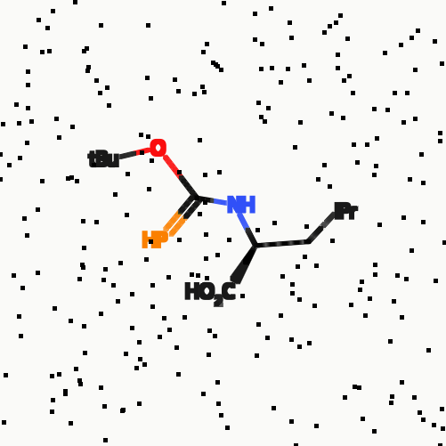 CC(C)C[C@H](NC(=P)OC(C)(C)C)C(=O)O